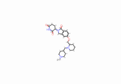 CC(C)N1CCC(CN2CCCCC2COc2ccc3c(c2)CN(C2CCC(=O)NC2=O)C3=O)CC1